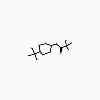 CC(C)(C)C(=O)CC1CCC(C(C)(C)C)CC1